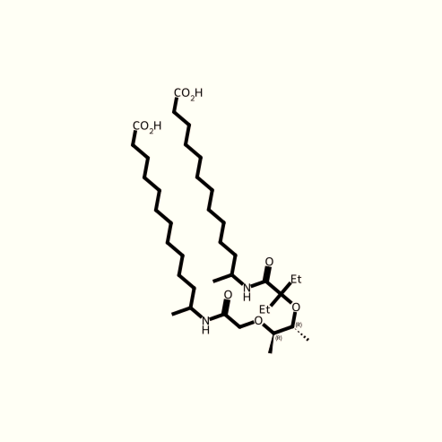 CCC(CC)(O[C@H](C)[C@@H](C)OCC(=O)NC(C)CCCCCCCCCCC(=O)O)C(=O)NC(C)CCCCCCCCCCC(=O)O